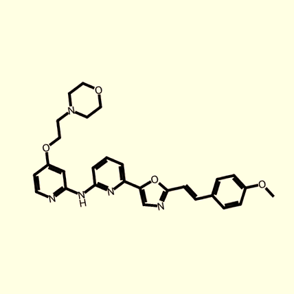 COc1ccc(/C=C/c2ncc(-c3cccc(Nc4cc(OCCN5CCOCC5)ccn4)n3)o2)cc1